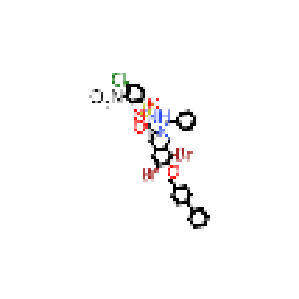 O=C(NS(=O)(=O)c1ccc(Cl)c([N+](=O)[O-])c1)[C@@H]1Cc2cc(Br)c(OCc3ccc(-c4ccccc4)cc3)c(Br)c2CN1Cc1ccccc1